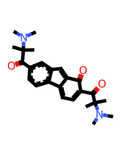 CN(C)C(C)(C)C(=O)C1=CC=C2C(=Cc3cc(C(=O)C(C)(C)N(C)C)ccc32)C1=O